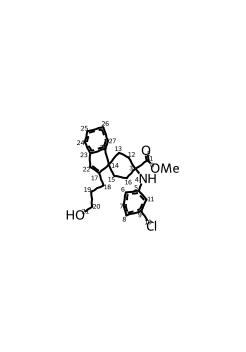 COC(=O)C1(Nc2cccc(Cl)c2)CCC2(CC1)C(CCCO)=Cc1ccccc12